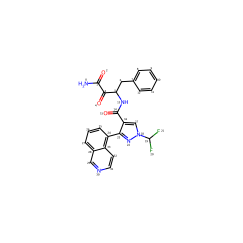 NC(=O)C(=O)C(Cc1ccccc1)NC(=O)c1cn(C(F)F)nc1-c1cccc2cnccc12